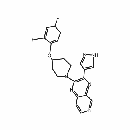 FC1=CC(F)CC=C1OC1CCN(c2nc3ccncc3nc2-c2cn[nH]c2)CC1